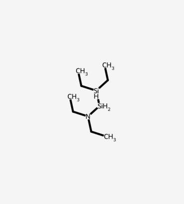 CCN(CC)[SiH2][SiH](CC)CC